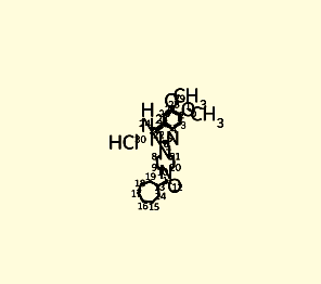 COc1cc2nc(N3CCN(C(=O)C4CCCCCC4)CC3)nc(N)c2cc1OC.Cl